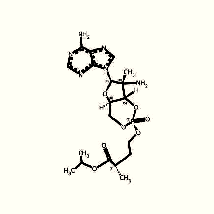 CC(C)OC(=O)[C@@H](C)CCO[P@@]1(=O)OC[C@H]2O[C@@H](n3cnc4c(N)ncnc43)[C@](C)(N)[C@@H]2O1